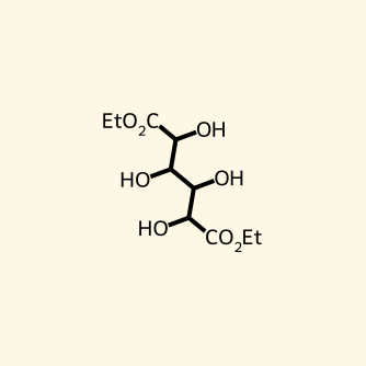 CCOC(=O)C(O)C(O)C(O)C(O)C(=O)OCC